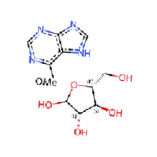 COc1ncnc2nc[nH]c12.OC[C@H]1OC(O)[C@@H](O)[C@@H]1O